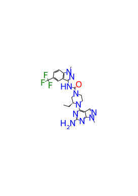 CC[C@H]1CN(C(=O)Nc2nn(C)c3ccc(C(F)(F)F)cc23)CCN1c1nc(N)nc2c1cnn2C